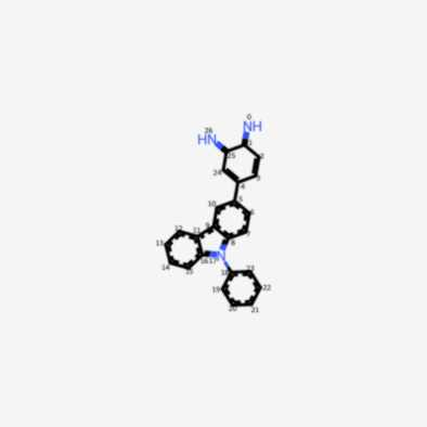 N=C1C=CC(c2ccc3c(c2)c2ccccc2n3-c2ccccc2)=CC1=N